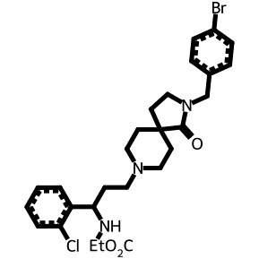 CCOC(=O)NC(CCN1CCC2(CC1)CCN(Cc1ccc(Br)cc1)C2=O)c1ccccc1Cl